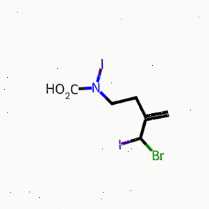 C=C(CCN(I)C(=O)O)C(Br)I